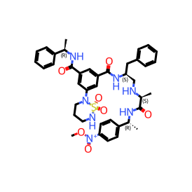 CO[N+](=O)c1ccc([C@@H](C)NC(=O)[C@H](C)NC[C@H](Cc2ccccc2)NC(=O)c2cc(C(=O)N[C@H](C)c3ccccc3)cc(N3CCCNS3(=O)=O)c2)cc1